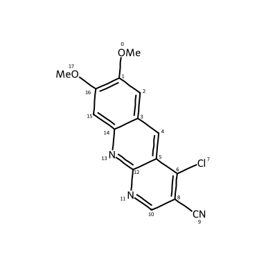 COc1cc2cc3c(Cl)c(C#N)cnc3nc2cc1OC